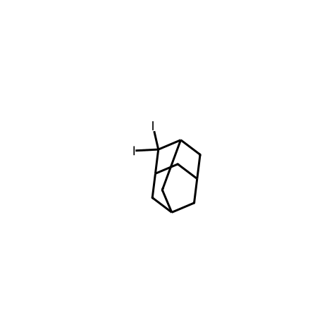 IC1(I)C2CC3CC(C2)CC1C3